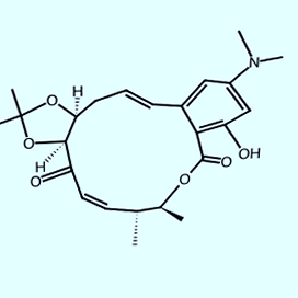 C[C@@H]1/C=C\C(=O)[C@H]2OC(C)(C)O[C@H]2C/C=C/c2cc(N(C)C)cc(O)c2C(=O)O[C@H]1C